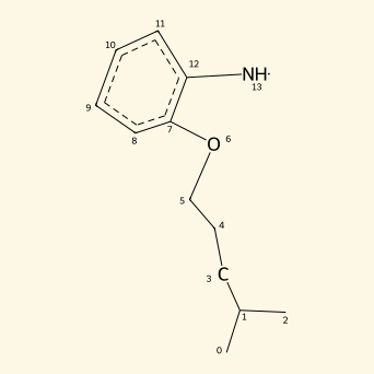 CC(C)CCCOc1ccccc1[NH]